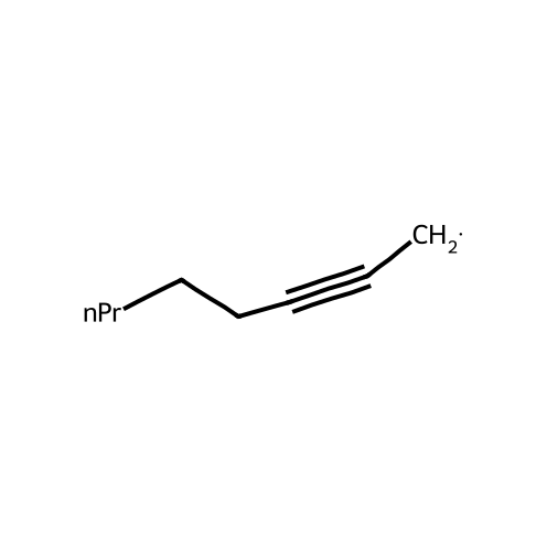 [CH2]C#CCCCCC